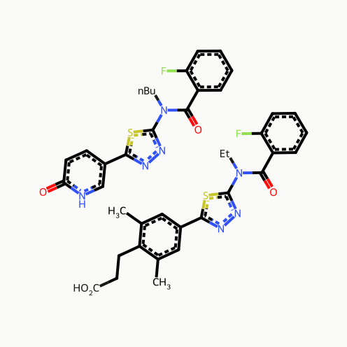 CCCCN(C(=O)c1ccccc1F)c1nnc(-c2ccc(=O)[nH]c2)s1.CCN(C(=O)c1ccccc1F)c1nnc(-c2cc(C)c(CCC(=O)O)c(C)c2)s1